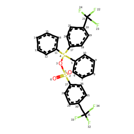 O=S(=O)(OS(c1ccccc1)(c1ccccc1)c1ccc(C(F)(F)F)cc1)c1ccc(C(F)(F)F)cc1